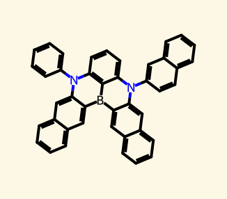 c1ccc(N2c3cc4ccccc4cc3B3c4cc5ccccc5cc4N(c4ccc5ccccc5c4)c4cccc2c43)cc1